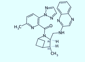 Cc1ccc(-n2nccn2)c(C(=O)N2C3CC(C3)[C@H](C)[C@@H]2CNc2cnc3ccccc3n2)n1